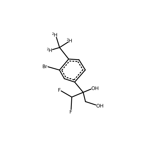 [2H]C([2H])([2H])c1ccc(C(O)(CO)C(F)F)cc1Br